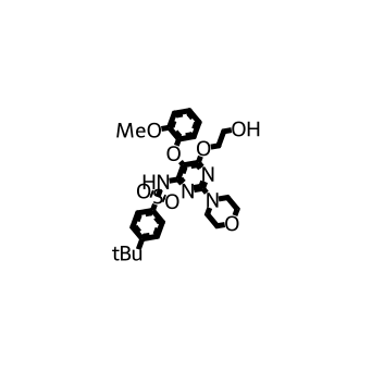 COc1ccccc1Oc1c(NS(=O)(=O)c2ccc(C(C)(C)C)cc2)nc(N2CCOCC2)nc1OCCO